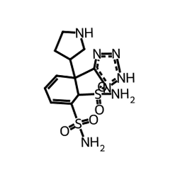 NS(=O)(=O)C1=CC=CC(c2nn[nH]n2)(C2CCNC2)C1S(N)(=O)=O